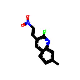 Cc1ccc2cc(/C=C/[N+](=O)[O-])c(Cl)nc2c1